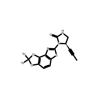 [2H]C1([2H])Oc2ccc3sc(N4C(=O)NC[C@H]4C#CC)nc3c2O1